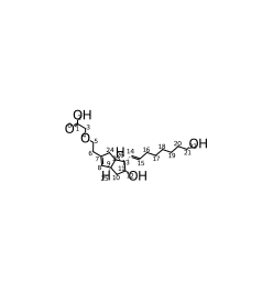 O=C(O)COCCC1=C[C@@H]2C[C@H](O)[C@@H](C=CCCCCCCO)[C@@H]2C1